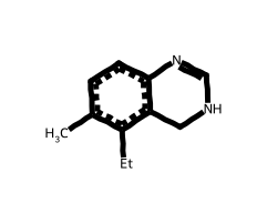 CCc1c(C)ccc2c1CNC=N2